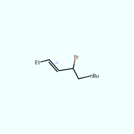 CC/C=C/C(Br)CCCCC